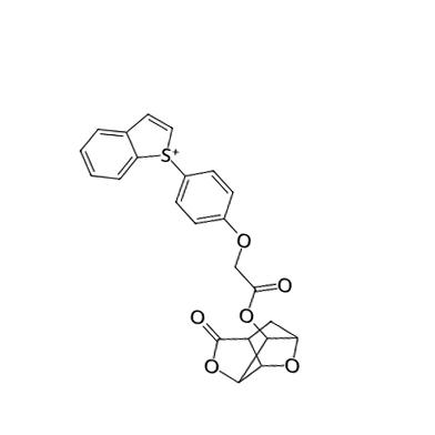 O=C(COc1ccc(-[s+]2ccc3ccccc32)cc1)OC1C2CC3C(=O)OC1C3O2